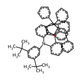 CC(C)(C)c1cc(N(c2ccccc2-c2cccc3cccc(-c4ccccc4)c23)c2cccc3c2-c2ccccc2C3(c2ccccc2)c2ccccc2)cc(C(C)(C)C)c1